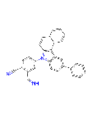 N#Cc1ccc(-n2c3c(c4cc(-c5ccccc5)ccc42)C2C=CC=CC2C=C3)cc1C=N